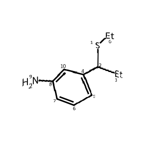 CCSC(CC)c1cccc(N)c1